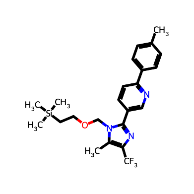 Cc1ccc(-c2ccc(-c3nc(C(F)(F)F)c(C)n3COCC[Si](C)(C)C)cn2)cc1